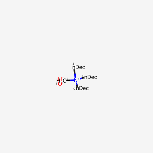 CCCCCCCCCC[N+](C)(CCCCCCCCCC)CCCCCCCCCC.[OH-]